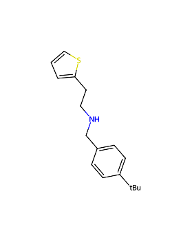 CC(C)(C)c1ccc(CNCCc2cccs2)cc1